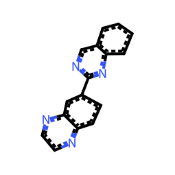 c1ccc2nc(-c3ccc4nccnc4c3)ncc2c1